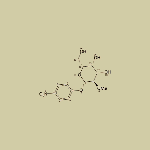 CO[C@H]1[C@H](Oc2ccc([N+](=O)[O-])cc2)O[C@H](CO)[C@H](O)[C@@H]1O